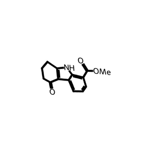 COC(=O)c1cccc2c3c([nH]c12)CCCC3=O